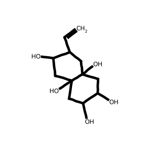 C=CC1CC2(O)CC(O)C(O)CC2(O)CC1O